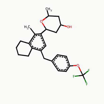 Cc1c(C2CC(O)CC(C)O2)cc(Cc2ccc(OC(F)(F)F)cc2)c2c1CCCC2